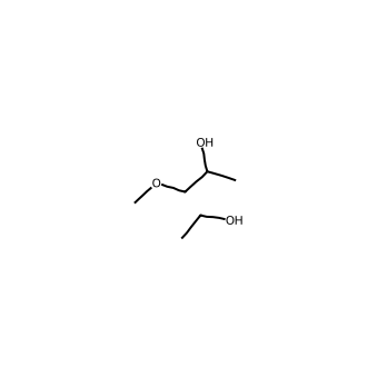 CCO.COCC(C)O